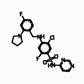 O=S(=O)(Nc1ccncn1)c1cc(Cl)c(NCc2ccc(F)cc2N2CCCC2)cc1F